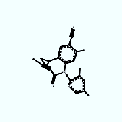 CC#CC(=O)N(c1cc(C)c(C#N)cc1C1CC1)c1ncc(C)cc1C